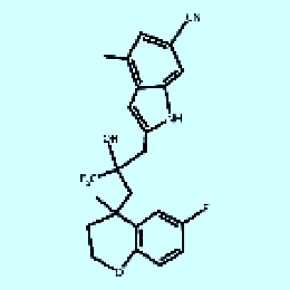 Cc1cc(C#N)cc2[nH]c(CC(O)(CC3(C)CCOc4ccc(F)cc43)C(F)(F)F)cc12